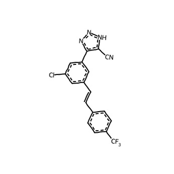 N#Cc1[nH]nnc1-c1cc(Cl)cc(/C=C/c2ccc(C(F)(F)F)cc2)c1